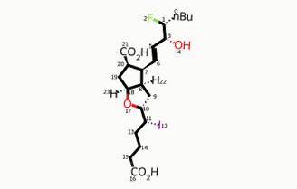 CCCC[C@@H](F)[C@H](O)/C=C/[C@H]1[C@H]2C[C@H]([C@H](I)CCCC(=O)O)O[C@H]2C[C@H]1C(=O)O